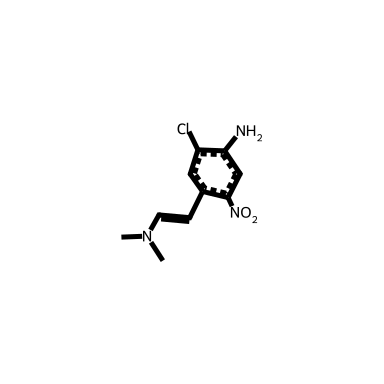 CN(C)/C=C/c1cc(Cl)c(N)cc1[N+](=O)[O-]